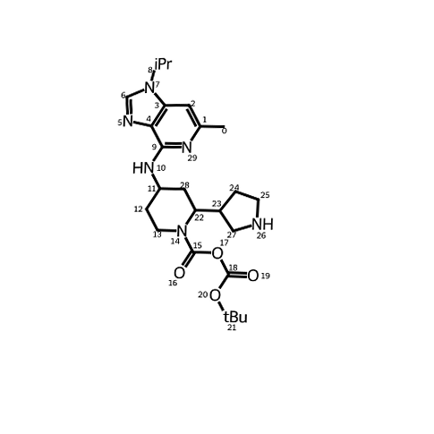 Cc1cc2c(ncn2C(C)C)c(NC2CCN(C(=O)OC(=O)OC(C)(C)C)C(C3CCNC3)C2)n1